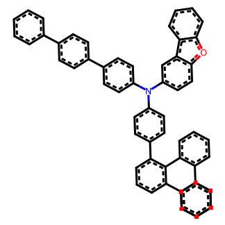 c1ccc(-c2ccc(-c3ccc(N(c4ccc(-c5cccc(-c6ccccc6)c5-c5ccccc5-c5ccccc5)cc4)c4ccc5oc6ccccc6c5c4)cc3)cc2)cc1